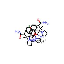 CC1(C)C(C(N)=O)c2cccc(c2)[C@@]1(C(=O)NC(=O)O)N1CCCC1[C@@H]1CC[C@@H](C2CCCN2[C@]2(C(=O)NC(=O)O)c3cccc(c3)C(C(N)=O)C2(C)C)N1c1ccc(F)cc1